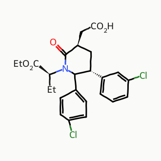 CCOC(=O)[C@H](CC)N1C(=O)[C@@H](CC(=O)O)C[C@H](c2cccc(Cl)c2)C1c1ccc(Cl)cc1